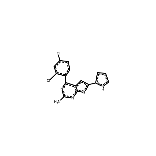 Nc1nc(-c2ccc(Cl)cc2Cl)c2cc(-c3ccc[nH]3)sc2n1